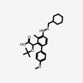 COc1ccc(-c2ccc(NSCC3CCCCC3)c(C)c2C(OC(C)(C)C)C(=O)O)cc1